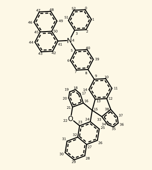 c1ccc(N(c2ccc(-c3ccc4c(c3)C3(c5ccccc5Oc5c3ccc3ccccc53)c3ccccc3-4)cc2)c2cccc3ccccc23)cc1